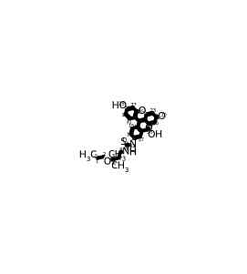 CCCOC(C)(C)CCNC(=S)Nc1ccc(-c2c3ccc(=O)cc-3oc3cc(O)ccc23)c(C(=O)O)c1